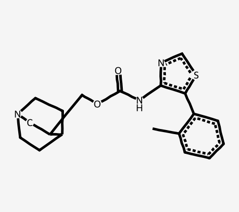 Cc1ccccc1-c1scnc1NC(=O)OCC1CN2CCC1CC2